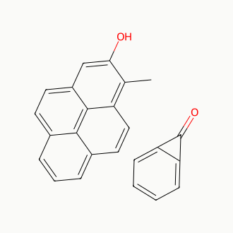 Cc1c(O)cc2ccc3cccc4ccc1c2c34.O=c1c2ccccc12